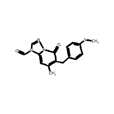 CSc1ccc(Cc2c(C)cc3n(C=O)cnn3c2=O)cc1